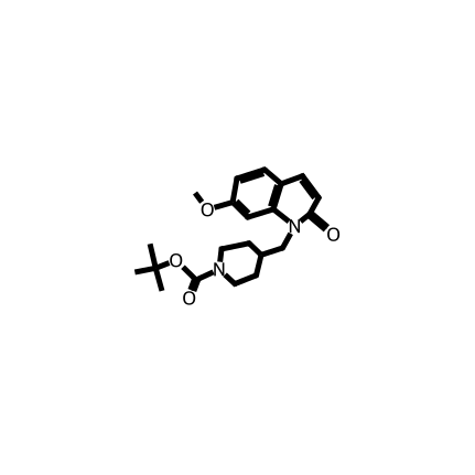 COc1ccc2ccc(=O)n(CC3CCN(C(=O)OC(C)(C)C)CC3)c2c1